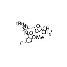 COc1ccc(Cl)cc1C(=O)N=c1sn(C(C)(C)C)cc1CCC1OCC(C)(C)CO1